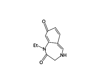 CCN1C(=O)CNC=C2C=CC(=O)C=C21